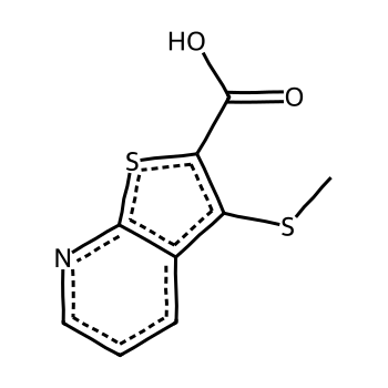 CSc1c(C(=O)O)sc2ncccc12